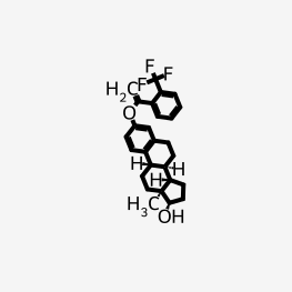 C=C(Oc1ccc2c(c1)CC[C@@H]1[C@@H]2CC[C@]2(C)[C@H](O)CC[C@@H]12)c1ccccc1C(F)(F)F